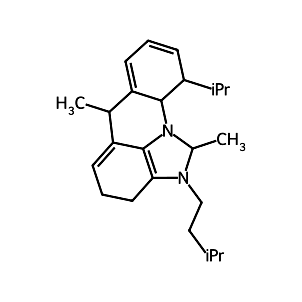 CC(C)CCN1C2=C3C(=CCC2)C(C)C2=CC=CC(C(C)C)C2N3C1C